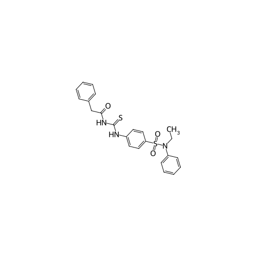 CCN(c1ccccc1)S(=O)(=O)c1ccc(NC(=S)NC(=O)Cc2ccccc2)cc1